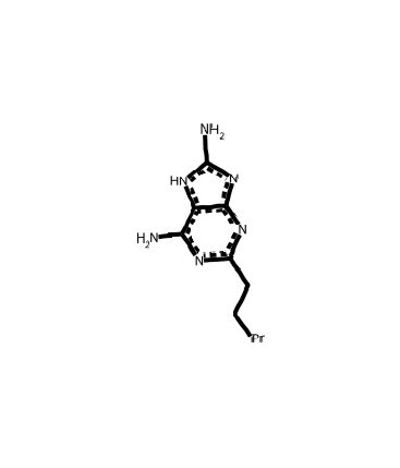 CC(C)CCc1nc(N)c2[nH]c(N)nc2n1